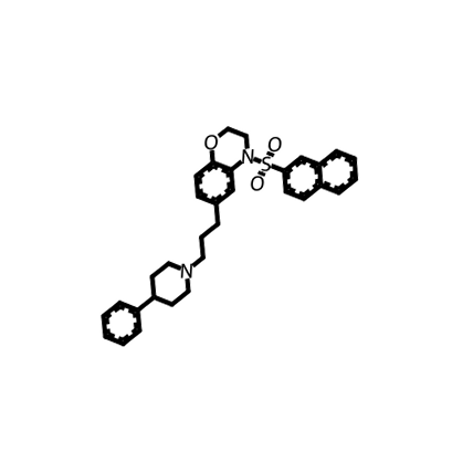 O=S(=O)(c1ccc2ccccc2c1)N1CCOc2ccc(CCCN3CCC(c4ccccc4)CC3)cc21